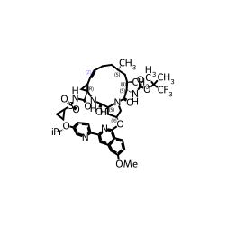 COc1ccc2c(O[C@@H]3C[C@H]4C(=O)N[C@]5(C(=O)NS(=O)(=O)C6CC6)CC5/C=C\CC[C@H](C)C[C@@H](C)[C@H](NC(=O)OC(C)(C)C(F)(F)F)C(=O)N4C3)nc(-c3ccc(OC(C)C)cn3)cc2c1